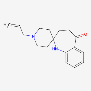 C=CCN1CCC2(CCC(=O)c3ccccc3N2)CC1